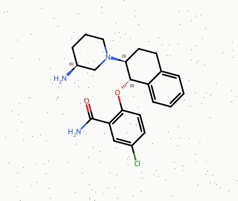 NC(=O)c1cc(Cl)ccc1O[C@H]1c2ccccc2CC[C@@H]1N1CCC[C@H](N)C1